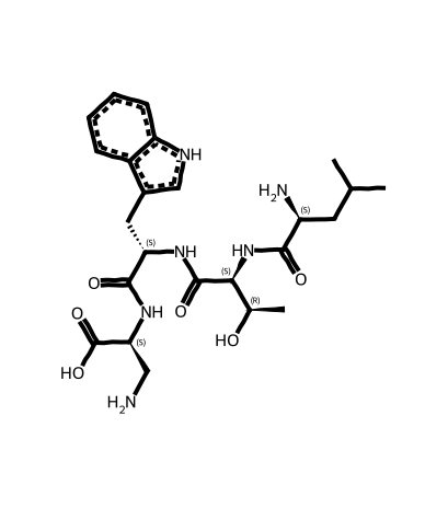 CC(C)C[C@H](N)C(=O)N[C@H](C(=O)N[C@@H](Cc1c[nH]c2ccccc12)C(=O)N[C@@H](CN)C(=O)O)[C@@H](C)O